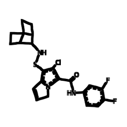 O=C(Nc1ccc(F)c(F)c1)c1c(Cl)c(SNC2C3CCC34CCC24)c2n1CC=C2